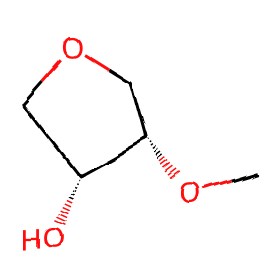 CO[C@H]1COC[C@H]1O